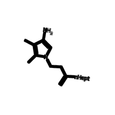 C=C(CCCCCCC)CCn1cc(N)c(C)c1C